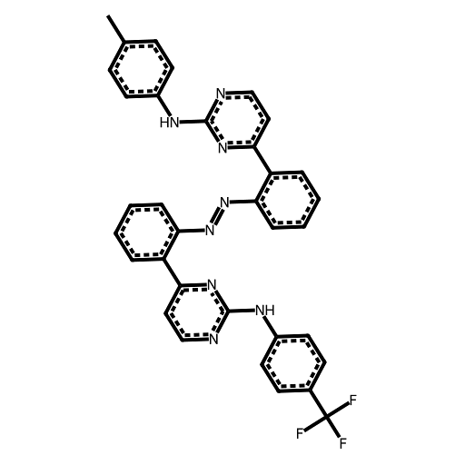 Cc1ccc(Nc2nccc(-c3ccccc3N=Nc3ccccc3-c3ccnc(Nc4ccc(C(F)(F)F)cc4)n3)n2)cc1